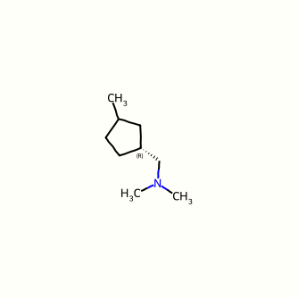 CC1CC[C@@H](CN(C)C)C1